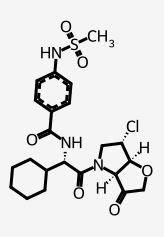 CS(=O)(=O)Nc1ccc(C(=O)N[C@H](C(=O)N2C[C@H](Cl)[C@H]3OCC(=O)[C@H]32)C2CCCCC2)cc1